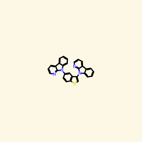 c1ccc2c(c1)c1cccnc1n2-c1ccc2scc(-n3c4ccccc4c4cccnc43)c2c1